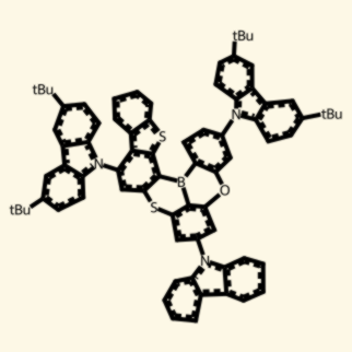 CC(C)(C)c1ccc2c(c1)c1cc(C(C)(C)C)ccc1n2-c1ccc2c(c1)Oc1cc(-n3c4ccccc4c4ccccc43)cc3c1B2c1c(cc(-n2c4ccc(C(C)(C)C)cc4c4cc(C(C)(C)C)ccc42)c2c1sc1ccccc12)S3